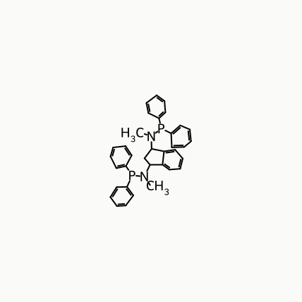 CN(C1CC(N(C)P(c2ccccc2)c2ccccc2)c2ccccc21)P(c1ccccc1)c1ccccc1